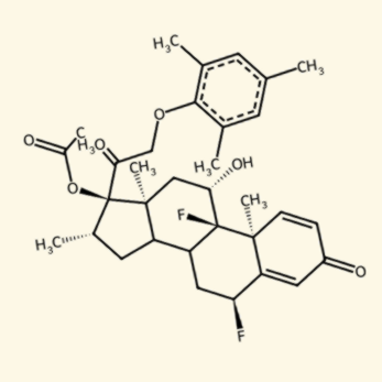 CC(=O)O[C@]1(C(=O)COc2c(C)cc(C)cc2C)[C@@H](C)CC2C3C[C@H](F)C4=CC(=O)C=C[C@]4(C)[C@@]3(F)[C@@H](O)C[C@@]21C